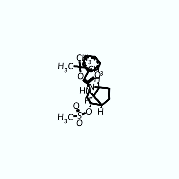 CC(C)(C)OC(=O)N[C@@H]1[C@@H]2CC[C@H]1N(Cc1ccccc1)C[C@H]2OS(C)(=O)=O